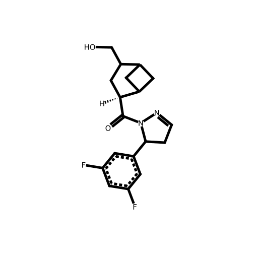 O=C([C@H]1CC(CO)C2CC1C2)N1N=CCC1c1cc(F)cc(F)c1